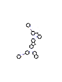 CC1(C)c2cc(N(c3ccc(-c4nc5ccccc5s4)cc3)c3ccc4ccccc4c3)ccc2-c2ccc(N3c4ccccc4C(C)(C)c4cc(-c5nc6ccccc6s5)ccc43)cc21